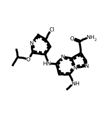 CNc1cc(Nc2cc(Cl)cnc2OC(C)C)nc2c(C(N)=O)cnn12